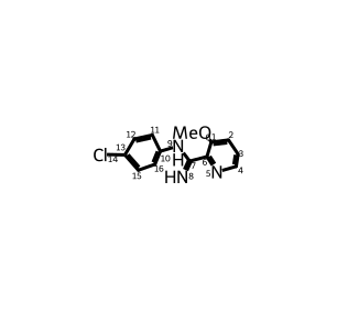 COc1cccnc1C(=N)Nc1ccc(Cl)cc1